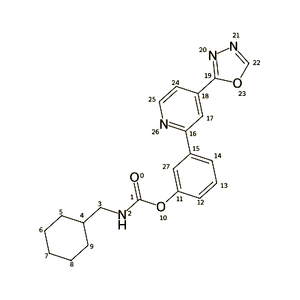 O=C(NCC1CCCCC1)Oc1cccc(-c2cc(-c3nnco3)ccn2)c1